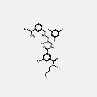 CCCCN(C)C(=O)c1cc(C)cc(C(=O)N[C@@H](Cc2cc(F)cc(F)c2)[C@H](O)CNCc2cccc(C(C)C)c2)c1